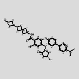 CC(C)c1ccc(-c2ccc(Oc3cc(C(=O)NC4CC5(C4)CN(C4CN(C)C4)C5)c(F)cc3CN3C[C@@H](C)CC3=O)cc2)nn1